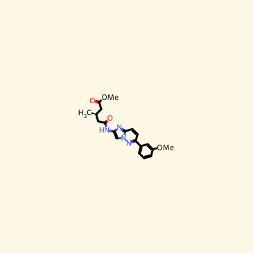 COC(=O)C[C@H](C)CC(=O)Nc1cn2nc(-c3cccc(OC)c3)ccc2n1